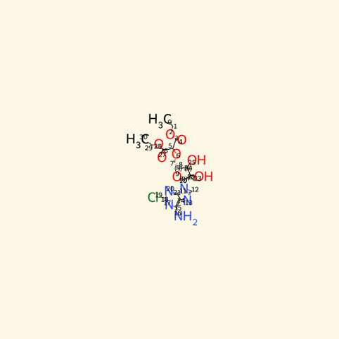 CCOC(=O)C(OC[C@H]1O[C@@H](n2cnc3c(N)nc(Cl)nc32)[C@H](O)[C@@H]1O)C(=O)OCC